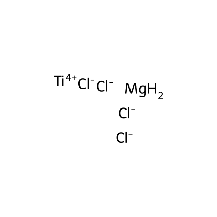 [Cl-].[Cl-].[Cl-].[Cl-].[MgH2].[Ti+4]